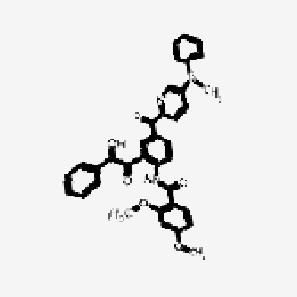 COc1ccc(C(=O)Nc2ccc(C(=O)c3ccc(N(C)c4ccccc4)cn3)cc2C(=O)C(O)c2ccccc2)c(OC)c1